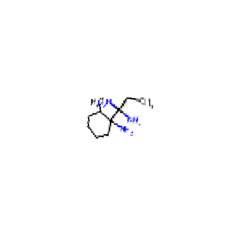 CCC(N)(N)C1(N)CCCCC1C